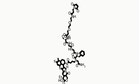 CC[C@@]1(O)C(=O)OCc2c1cc1n(c2=O)Cc2c-1nc1cc(F)c(C)c3c1c2[C@@H](NC(=O)CCCN(CC(N)=O)C(=O)[C@H](Cc1ccccc1)NC(=O)CNC(=O)CNC(=O)[C@H](CC(=O)O)NC(=O)CCOCCOCCNC(=O)CCN1C(=O)C=CC1=O)CC3